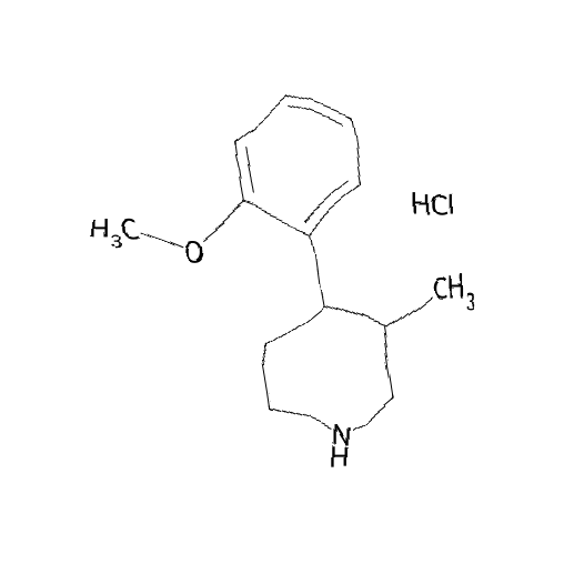 COc1ccccc1C1CCNCC1C.Cl